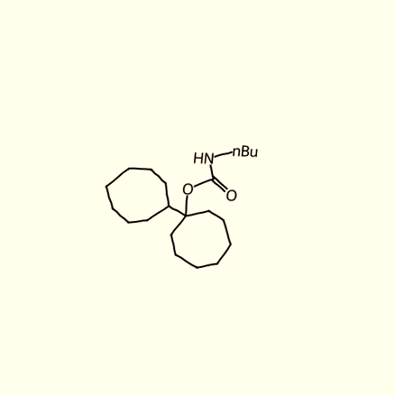 CCCCNC(=O)OC1(C2CCCCCCC2)CCCCCCC1